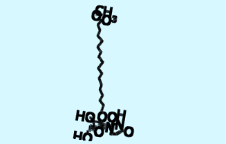 COC(=O)CCCCCCCCCCCCCCCCCOC1C(O)[C@@H](CO)O[C@H]1n1ccc(=O)[nH]c1=O